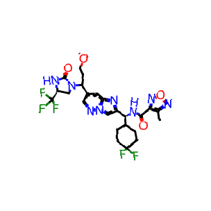 COCCC(c1cnn2cc([C@@H](NC(=O)c3nonc3C)C3CCC(F)(F)CC3)nc2c1)N1C[C@@H](C(F)(F)F)NC1=O